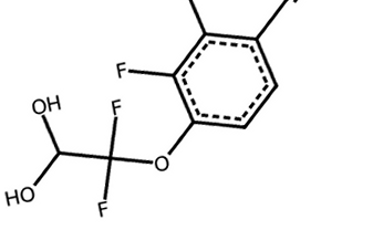 N#Cc1ccc(OC(F)(F)C(O)O)c(F)c1Br